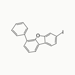 Ic1ccc2c(c1)oc1c(-c3ccccc3)cccc12